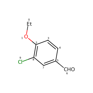 CCOc1ccc(C=O)cc1Cl